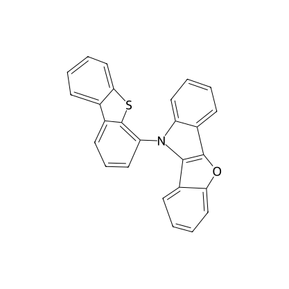 c1ccc2c(c1)oc1c3ccccc3n(-c3cccc4c3sc3ccccc34)c21